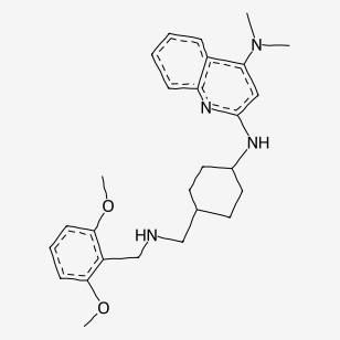 COc1cccc(OC)c1CNCC1CCC(Nc2cc(N(C)C)c3ccccc3n2)CC1